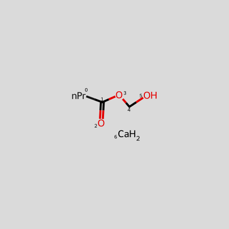 CCCC(=O)OCO.[CaH2]